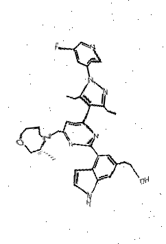 Cc1nn(-c2cncc(F)c2)c(C)c1-c1cc(N2CCOC[C@H]2C)nc(-c2cc(CO)cc3[nH]ccc23)n1